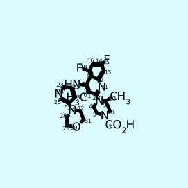 Cc1c(N2CCN(C(=O)O)CC2C)nc2cc(F)cc(F)c2c1Nc1cncc(N2CCOCC2)c1